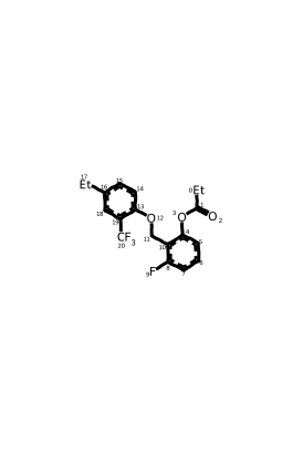 CCC(=O)Oc1cccc(F)c1COc1ccc(CC)cc1C(F)(F)F